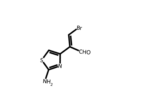 Nc1nc(C(C=O)=CBr)cs1